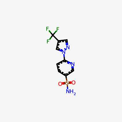 NS(=O)(=O)c1ccc(-n2cc(C(F)(F)F)cn2)nc1